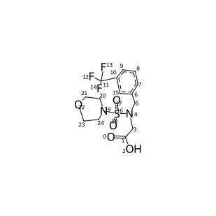 O=C(O)CN(Cc1cccc(C(F)(F)F)c1)S(=O)(=O)N1CCOCC1